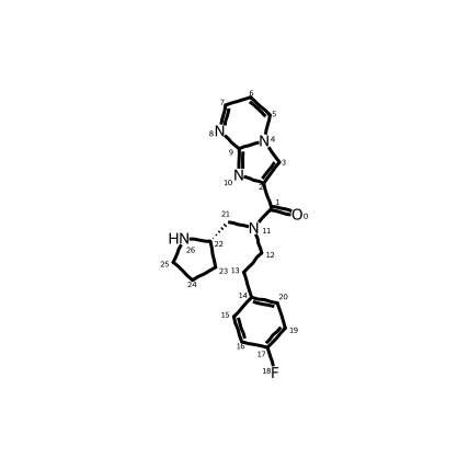 O=C(c1cn2cccnc2n1)N(CCc1ccc(F)cc1)C[C@@H]1CCCN1